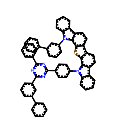 c1ccc(-c2cccc(-c3nc(-c4ccccc4)nc(-c4ccc(-n5c6ccccc6c6ccc7c8ccc9c%10ccccc%10n(-c%10cccc(-c%11ccccc%11)c%10)c9c8sc7c65)cc4)n3)c2)cc1